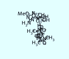 COc1nc(N)nc2c1ncn2[C@H](OCCOP(=O)(N[C@H](C)C(=O)OC(C)C)SCC1C(=O)N(C)C(=O)N1C)[C@](C)(O)CO